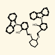 Oc1c(/C=N/C2CCCCC2/N=C/c2cccc(-n3c4ccccc4c4ccccc43)c2O)cccc1-n1c2ccccc2c2ccccc21